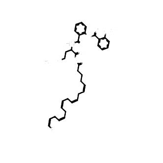 CC/C=C\C/C=C\C/C=C\C/C=C\C/C=C\CCCC(=O)OC(=O)C(CCC(=O)O)NC(=O)c1ccccc1OC(=O)c1ccccc1OC(C)=O